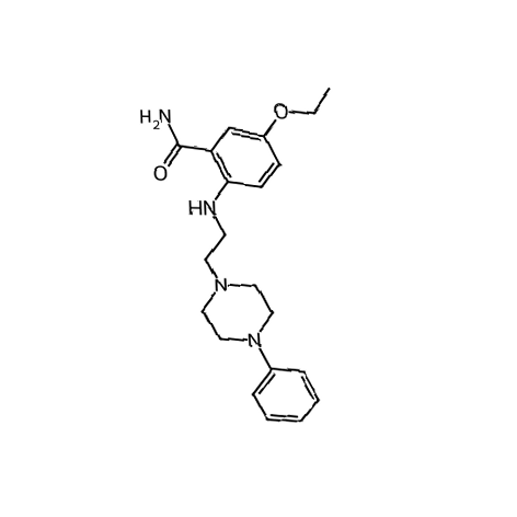 CCOc1ccc(NCCN2CCN(c3ccccc3)CC2)c(C(N)=O)c1